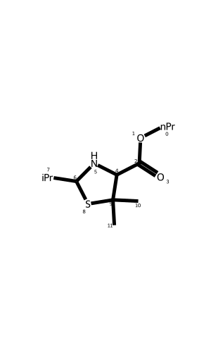 CCCOC(=O)C1NC(C(C)C)SC1(C)C